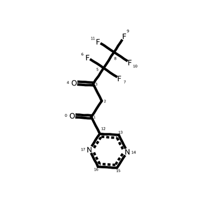 O=C(CC(=O)C(F)(F)C(F)(F)F)c1cnccn1